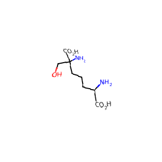 NC(CCCC(N)(CO)C(=O)O)C(=O)O